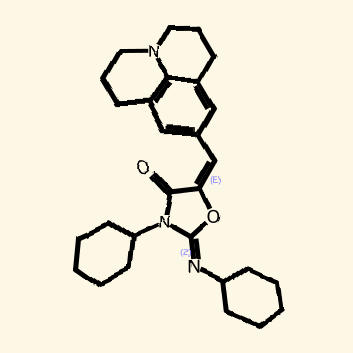 O=C1/C(=C\c2cc3c4c(c2)CCCN4CCC3)O/C(=N\C2CCCCC2)N1C1CCCCC1